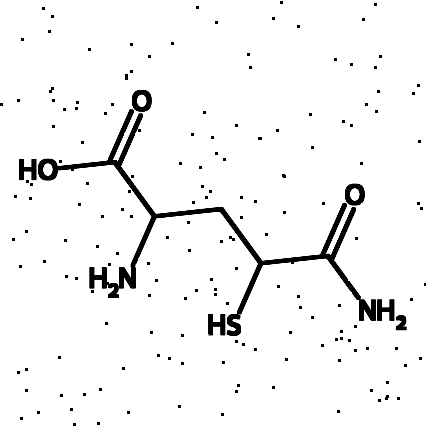 NC(=O)C(S)CC(N)C(=O)O